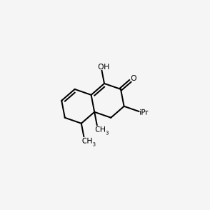 CC(C)C1CC2(C)C(=C(O)C1=O)C=CCC2C